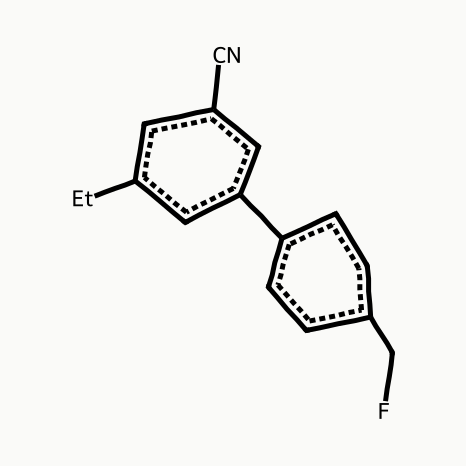 CCc1cc(C#N)cc(-c2ccc(CF)cc2)c1